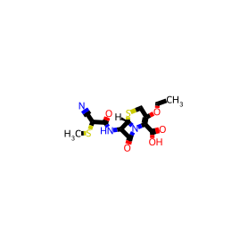 CCOC1=C(C(=O)O)N2C(=O)C(NC(=O)C(C#N)SC)[C@@H]2SC1